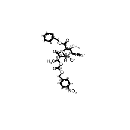 CC1=C(C(=O)OCc2ccccc2)N2C(=O)[C@H](C(C)OC(=O)OCc3ccc([N+](=O)[O-])cc3)[C@@H]2[S@@+]([O-])C1=[N+]=[N-]